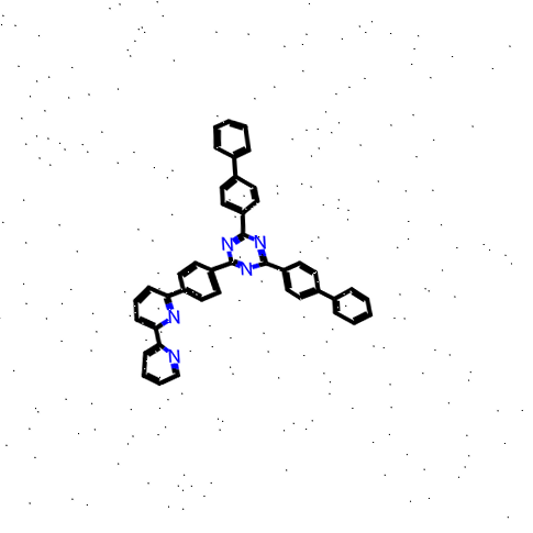 c1ccc(-c2ccc(-c3nc(-c4ccc(-c5ccccc5)cc4)nc(-c4ccc(-c5cccc(-c6ccccn6)n5)cc4)n3)cc2)cc1